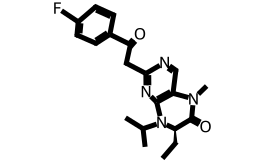 CC[C@@H]1C(=O)N(C)c2cnc(CC(=O)c3ccc(F)cc3)nc2N1C(C)C